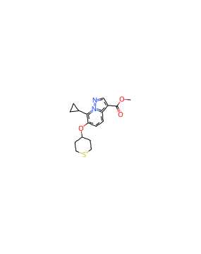 COC(=O)c1cnn2c(C3CC3)c(OC3CCSCC3)ccc12